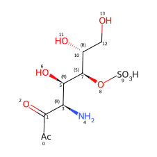 CC(=O)C(=O)[C@H](N)[C@@H](O)[C@H](OS(=O)(=O)O)[C@H](O)CO